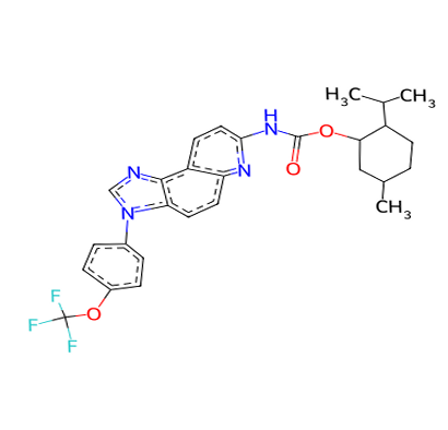 CC1CCC(C(C)C)C(OC(=O)Nc2ccc3c(ccc4c3ncn4-c3ccc(OC(F)(F)F)cc3)n2)C1